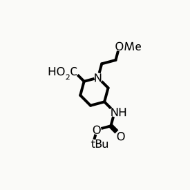 COCCN1CC(NC(=O)OC(C)(C)C)CCC1C(=O)O